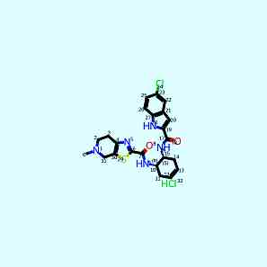 CN1CCc2nc(C(=O)N[C@@H]3CC=CC[C@@H]3NC(=O)c3cc4cc(Cl)ccc4[nH]3)sc2C1.Cl